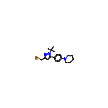 CC(C)(C)n1nc(CBr)cc1-c1ccc(N2CCCCC2)cc1